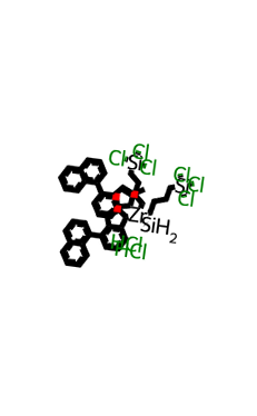 CC1=Cc2c(-c3cccc4ccccc34)cccc2[CH]1[Zr](=[SiH2])([CH2]CCC[Si](Cl)(Cl)Cl)([CH2]CCC[Si](Cl)(Cl)Cl)[CH]1C(C)=Cc2c(-c3cccc4ccccc34)cccc21.Cl.Cl